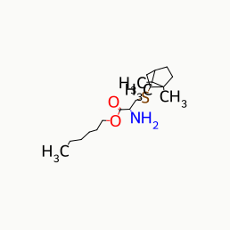 CCCCCCOC(=O)[C@@H](N)CSC1CC2CCC1(C)C2(C)C